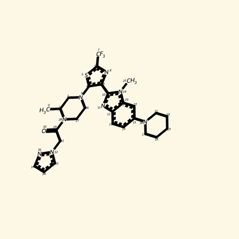 CC1CN(c2sc(C(F)(F)F)nc2-c2nc3ccc(N4CCCCC4)cc3n2C)CCN1C(=O)Cn1cccn1